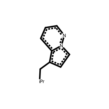 CC(C)Cc1ccn2ncccc12